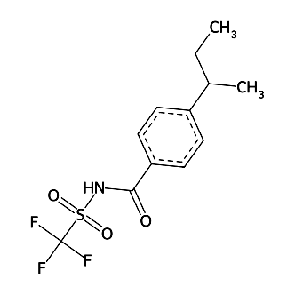 CCC(C)c1ccc(C(=O)NS(=O)(=O)C(F)(F)F)cc1